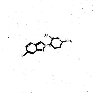 C[C@H]1CN(C)CC[C@@H]1n1cc2ccc(Br)cc2n1